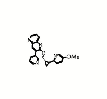 COc1ccc(C2C[C@@H]2COc2nc3cccnc3cc2-c2cccnc2)nc1